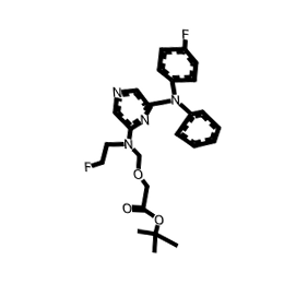 CC(C)(C)OC(=O)COCN(CCF)c1cncc(N(c2ccccc2)c2ccc(F)cc2)n1